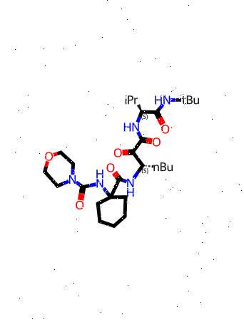 CCCC[C@H](NC(=O)C1(NC(=O)N2CCOCC2)CCCCC1)C(=O)C(=O)N[C@H](C(=O)NC(C)(C)C)C(C)C